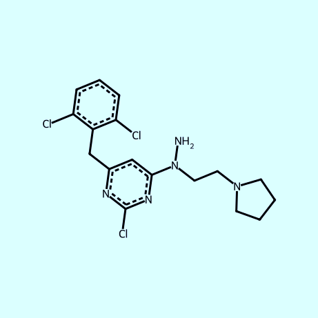 NN(CCN1CCCC1)c1cc(Cc2c(Cl)cccc2Cl)nc(Cl)n1